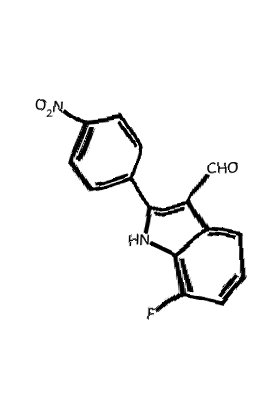 O=Cc1c(-c2ccc([N+](=O)[O-])cc2)[nH]c2c(F)cccc12